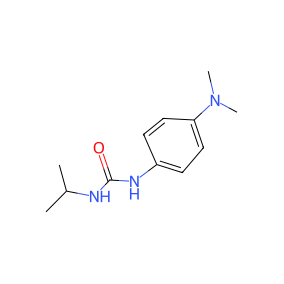 CC(C)NC(=O)Nc1ccc(N(C)C)cc1